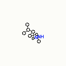 c1ccc(-c2cc(-c3ccccc3)cc(-c3cccc4c3-c3ccccc3C43c4ccccc4N4c5c(cccc53)NC4c3ccccc3)c2)cc1